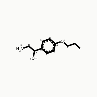 CCCOc1ccc(C(O)CN)cc1